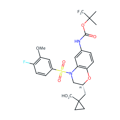 COc1cc(S(=O)(=O)N2C[C@@H](CC3(C(=O)O)CC3)Oc3ccc(NC(=O)OC(C)(C)C(F)(F)F)cc32)ccc1F